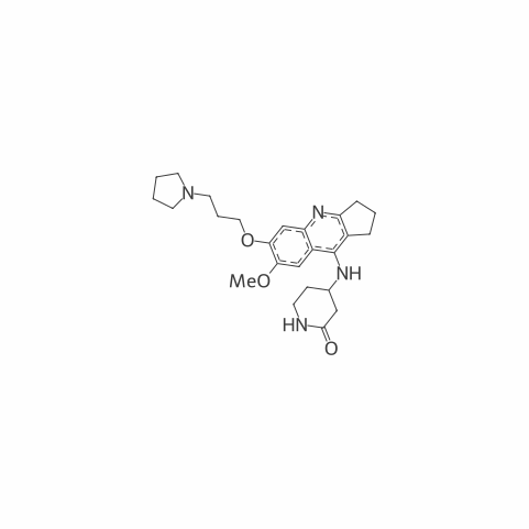 COc1cc2c(NC3CCNC(=O)C3)c3c(nc2cc1OCCCN1CCCC1)CCC3